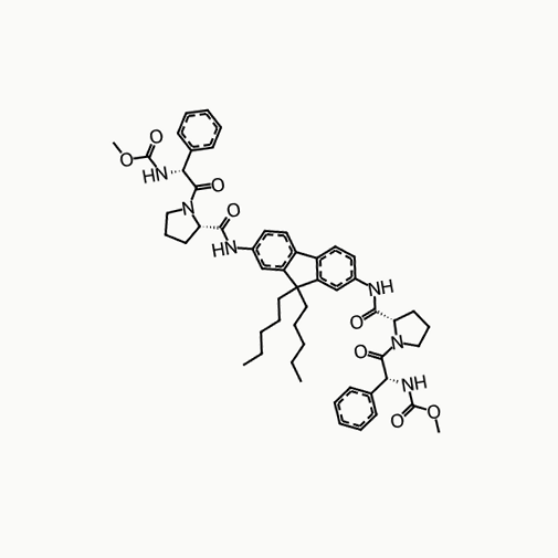 CCCCCC1(CCCCC)c2cc(NC(=O)[C@@H]3CCCN3C(=O)[C@H](NC(=O)OC)c3ccccc3)ccc2-c2ccc(NC(=O)[C@@H]3CCCN3C(=O)[C@H](NC(=O)OC)c3ccccc3)cc21